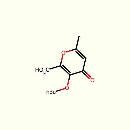 CCCCOc1c(C(=O)O)oc(C)cc1=O